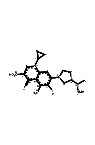 CN[C@H](C)[C@@H]1CCN(c2cc3c(c(N)c2F)c(=O)c(C(=O)O)cn3C2CC2)C1